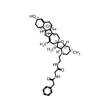 CC1=C2C[C@H]3[C@@H](CCC4=C[C@@H](O)CC[C@@]43C)[C@@H]2CC[C@@]2(C1)O[C@@H]1C[C@H](C)CN(CCNC(=O)CNC(=O)Cc3ccccc3)[C@H]1[C@H]2C